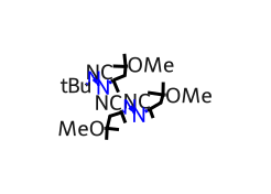 COC(C)(C)CC(C)(C#N)N=NC(C)(C#N)CC(C)(C)OC.COC(C)(C)CC(C)(C#N)N=NC(C)(C)C